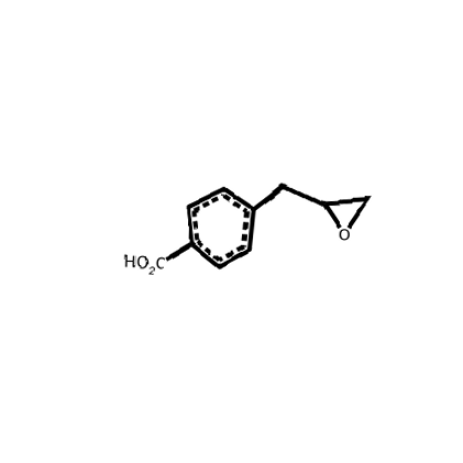 O=C(O)c1ccc(CC2CO2)cc1